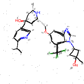 CC(C)c1ccc([C@@]2(O)C[C@@H](COc3cc(C(F)(F)F)c4c(c3)ncn4C3CC(C)(O)C3)N[C@@H](C)C2)cn1